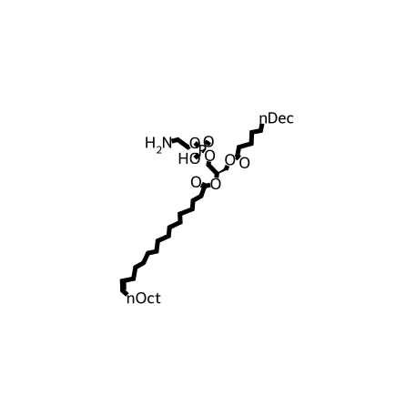 CCCCCCCC/C=C\CCCCCCCCCCCCCC(=O)O[C@H](COC(=O)CCCCCCCCCCCCCC)COP(=O)(O)OCCN